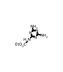 CCOC(C)=O.Nc1nc(N)nc(N)n1